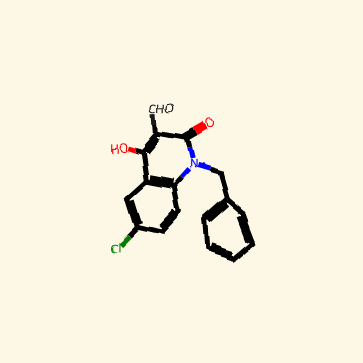 O=Cc1c(O)c2cc(Cl)ccc2n(Cc2ccccc2)c1=O